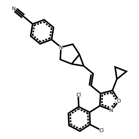 N#Cc1ccc(N2CC3C(C=Cc4c(-c5c(Cl)cccc5Cl)noc4C4CC4)C3C2)cc1